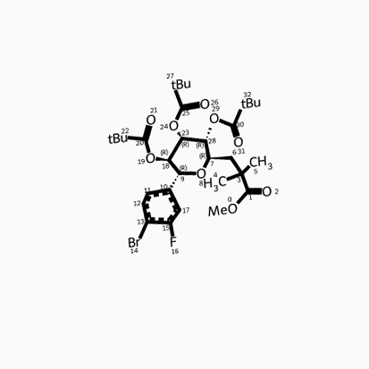 COC(=O)C(C)(C)C[C@H]1O[C@H](c2ccc(Br)c(F)c2)[C@@H](OC(=O)C(C)(C)C)[C@H](OC(=O)C(C)(C)C)[C@@H]1OC(=O)C(C)(C)C